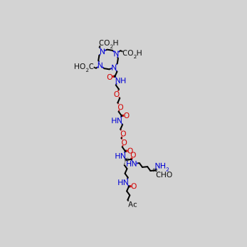 CC(=O)CCCC(=O)NCCCC[C@H](NC(=O)COCOCCNC(=O)COCCOCCNC(=O)CN1CCN(CC(=O)O)CCN(CC(=O)O)CCN(CC(=O)O)CC1)C(=O)NCCCC[C@H](N)C=O